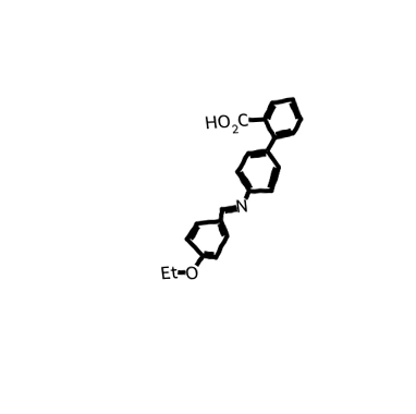 CCOc1ccc(C=Nc2ccc(-c3ccccc3C(=O)O)cc2)cc1